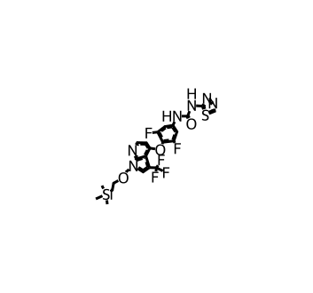 C[Si](C)(C)CCOCn1cc(C(F)(F)F)c2c(Oc3c(F)cc(NC(=O)Nc4nncs4)cc3F)ccnc21